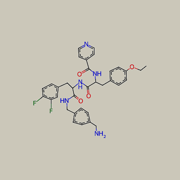 CCOc1ccc(CC(NC(=O)c2ccncc2)C(=O)NC(Cc2ccc(F)c(F)c2)C(=O)NCc2ccc(CN)cc2)cc1